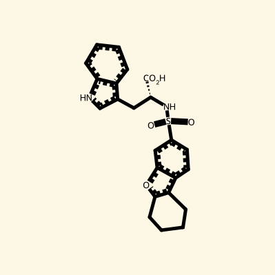 O=C(O)[C@@H](Cc1c[nH]c2ccccc12)NS(=O)(=O)c1ccc2c3c(oc2c1)CCCC3